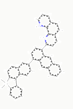 C[Si]1(C)c2ccccc2-c2c1ccc1cc(-c3ccc(-c4ccc5ccc6cccnc6c5n4)c4cc5ccccc5cc34)ccc21